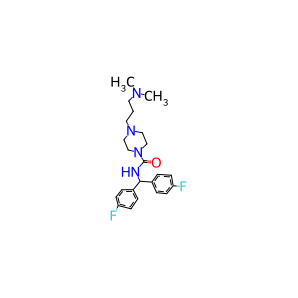 CN(C)CCCN1CCN(C(=O)NC(c2ccc(F)cc2)c2ccc(F)cc2)CC1